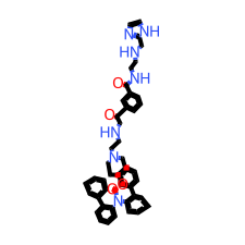 O=C(CNCCN1CCC(OC(=O)N(c2ccccc2-c2ccccc2)c2ccccc2-c2ccccc2)CC1)c1cccc(C(=O)NCCNCc2ncc[nH]2)c1